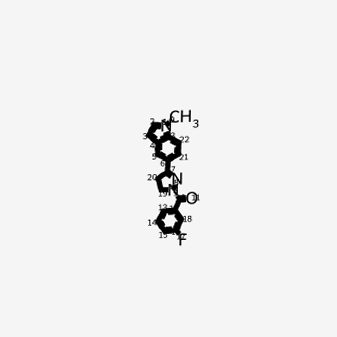 Cn1ccc2cc(C3=NN(C(=O)c4cccc(F)c4)CC3)ccc21